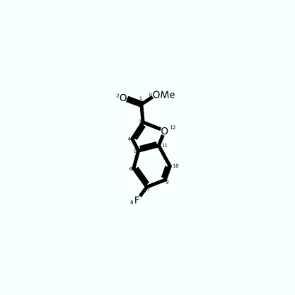 COC(=O)c1cc2cc(F)ccc2o1